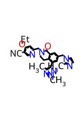 CCOc1cc(CN2CCc3c(cc(Cn4ccnc4C)cc3-c3nn(C)nc3C)C2=O)ncc1C#N